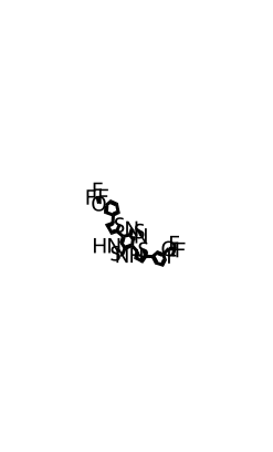 FC(F)(F)Oc1cccc(-c2ccc(-c3c4c(c(-c5ccc(-c6cccc(OC(F)(F)F)c6)s5)c5nsnc35)NSN4)s2)c1